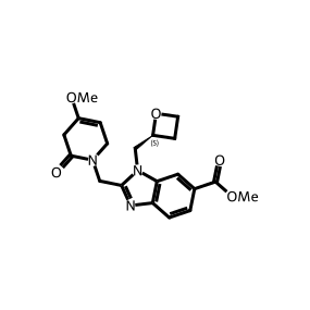 COC(=O)c1ccc2nc(CN3CC=C(OC)CC3=O)n(C[C@@H]3CCO3)c2c1